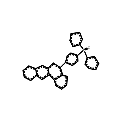 O=P(c1ccccc1)(c1ccccc1)c1ccc(-c2cc3cc4ccccc4cc3c3ccccc23)cc1